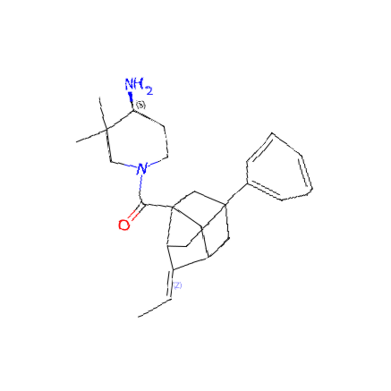 C/C=C1/C2CC3(c4ccccc4)CC1C(C(=O)N1CC[C@H](N)C(C)(C)C1)(C2)C3